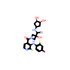 CCC(NC1C[C@@H](O)[C@@H](O)C1)C1(O)CN(C(=O)c2ccnc(F)c2Nc2ccc(I)cc2F)C1